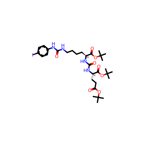 CC(C)(C)OC(=O)CC[C@H](NC(=O)N[C@@H](CCCCNC(=O)Nc1ccc(I)cc1)C(=O)OC(C)(C)C)C(=O)OC(C)(C)C